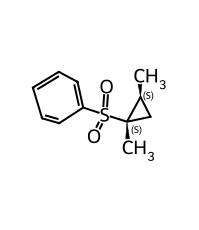 C[C@H]1C[C@]1(C)S(=O)(=O)c1ccccc1